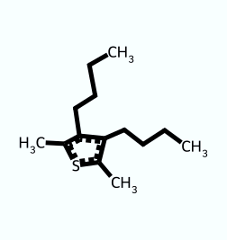 CCCCc1c(C)sc(C)c1CCCC